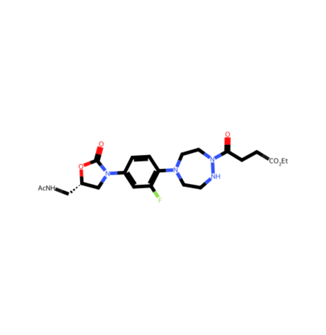 CCOC(=O)CCC(=O)N1CCN(c2ccc(N3C[C@H](CNC(C)=O)OC3=O)cc2F)CCN1